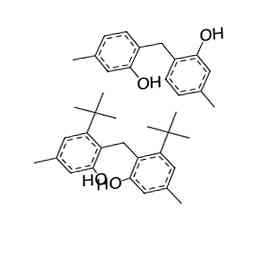 Cc1cc(O)c(Cc2c(O)cc(C)cc2C(C)(C)C)c(C(C)(C)C)c1.Cc1ccc(Cc2ccc(C)cc2O)c(O)c1